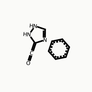 O=C=C1N=CNN1.c1ccccc1